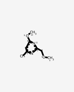 COCc1nc(Cl)cc(OC)n1